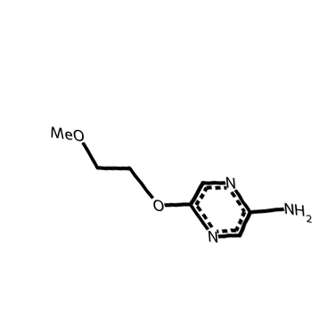 COCCOc1cnc(N)cn1